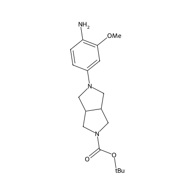 COc1cc(N2CC3CN(C(=O)OC(C)(C)C)CC3C2)ccc1N